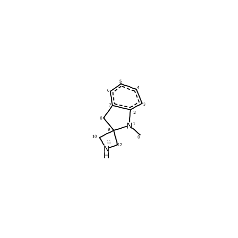 CN1c2ccccc2CC12CNC2